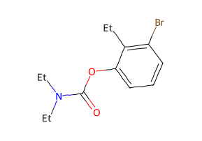 CCc1c(Br)cccc1OC(=O)N(CC)CC